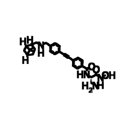 CC1(C)[C@H]2CC[C@@H](CNCc3ccc(C#Cc4ccc(C(=O)N[C@@H](CN)C(=O)NO)cc4)cc3)[C@H]1C2